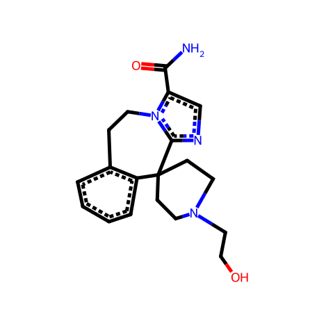 NC(=O)c1cnc2n1CCc1ccccc1C21CCN(CCO)CC1